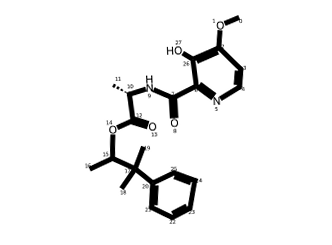 COc1ccnc(C(=O)N[C@@H](C)C(=O)OC(C)C(C)(C)c2ccccc2)c1O